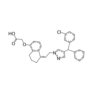 O=C(O)COc1cccc2c1CCC/C2=C/Cn1cc(C(c2ccccc2)c2cccc(Cl)c2)cn1